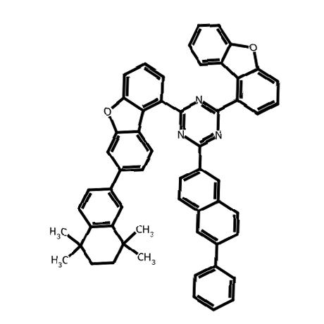 CC1(C)CCC(C)(C)c2cc(-c3ccc4c(c3)oc3cccc(-c5nc(-c6ccc7cc(-c8ccccc8)ccc7c6)nc(-c6cccc7oc8ccccc8c67)n5)c34)ccc21